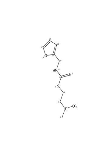 C[S+]([O-])CCSC(=S)NCc1ccco1